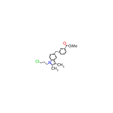 COC(=O)c1cccc(Cc2ccc3c(c2)c(C)c(C)n3CCCCl)c1